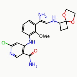 COc1c(Nc2cc(Cl)ncc2C(N)=O)cccc1/C(N)=C/NC1CCC12OCCO2